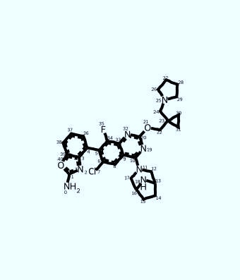 Nc1nc2c(-c3c(Cl)cc4c(N5CC6CCC(C5)N6)nc(OCC5(CN6CCCC6)CC5)nc4c3F)cccc2o1